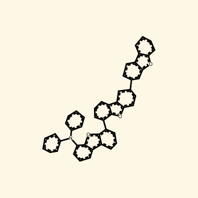 c1ccc(N(c2ccccc2)c2cccc3c2oc2c(-c4cccc5c4oc4ccc(-c6ccc7c(c6)oc6ccccc67)cc45)cccc23)cc1